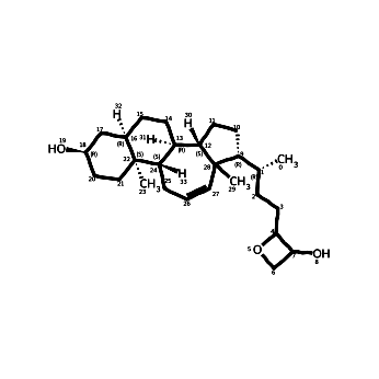 C[C@H](CCC1OCC1O)[C@H]1CC[C@H]2[C@@H]3CC[C@@H]4C[C@H](O)CC[C@]4(C)[C@H]3CC=CC12C